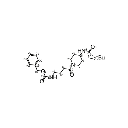 CC(C)(C)OC(=O)NC1CCN(C(=O)CCCNC(=O)OCc2ccccc2)CC1